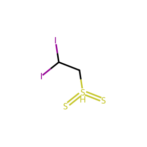 S=[SH](=S)CC(I)I